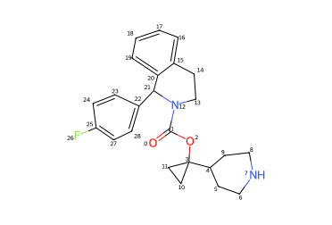 O=C(OC1(C2CCNCC2)CC1)N1CCc2ccccc2C1c1ccc(F)cc1